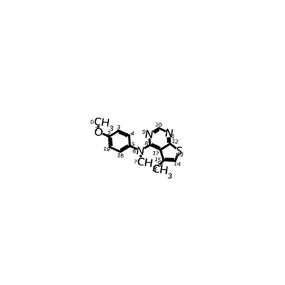 COc1ccc(N(C)c2ncnc3scc(C)c23)cc1